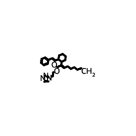 C=CCCCC/C=C(/C(=O)OCCn1ccnn1)C1CCCCC1C=Cc1ccccc1